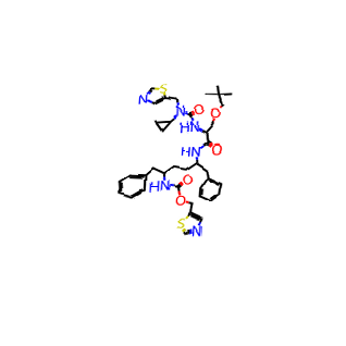 CC(C)(C)COCC(NC(=O)N(Cc1cncs1)C1CC1)C(=O)NC(CCC(Cc1ccccc1)NC(=O)OCc1cncs1)Cc1ccccc1